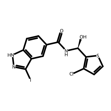 O=C(N[C@@H](O)c1sccc1Cl)c1ccc2[nH]nc(I)c2c1